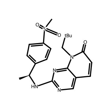 C[C@H](Nc1ncc2ccc(=O)n(CC(C)(C)C)c2n1)c1ccc(S(C)(=O)=O)cc1